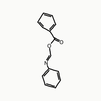 O=C(OC=Nc1ccccc1)c1ccccc1